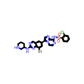 CCc1cc(-c2cnc3c(NS(=O)(=O)c4ccccc4Cl)nccn23)cc2cnc(NC3CCCNC3)nc12